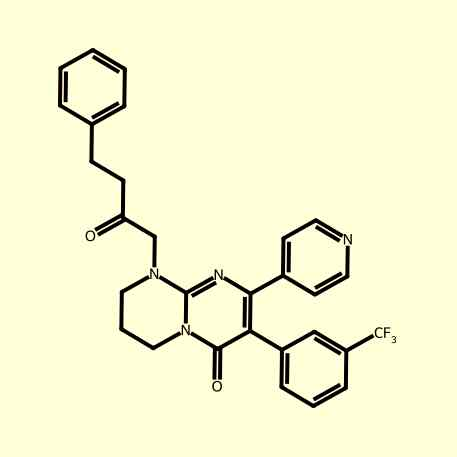 O=C(CCc1ccccc1)CN1CCCn2c1nc(-c1ccncc1)c(-c1cccc(C(F)(F)F)c1)c2=O